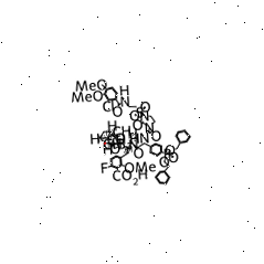 COc1ccc(C(=O)NCCS(=O)(=O)N2CCN(C(=O)NC(C(=O)N[C@@H](Cc3ccc(F)c(C(=O)O)c3OC)B3O[C@@H]4C[C@@H]5C[C@@H](C5(C)C)[C@]4(C)O3)c3ccc(P(=O)(OCc4ccccc4)OCc4ccccc4)cc3)C2=O)c(Cl)c1OC